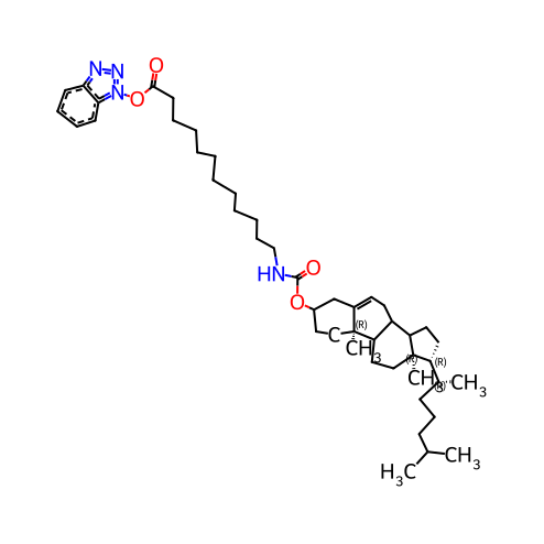 CC(C)CCC[C@@H](C)[C@H]1CCC2C3CC=C4CC(OC(=O)NCCCCCCCCCCCC(=O)On5nnc6ccccc65)CC[C@]4(C)C3CC[C@@]21C